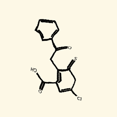 O=C(O)C1=C(CC(=O)c2ccccc2)C(=S)CC(Cl)=C1